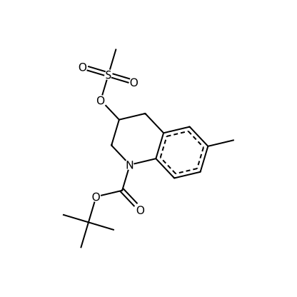 Cc1ccc2c(c1)CC(OS(C)(=O)=O)CN2C(=O)OC(C)(C)C